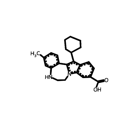 Cc1ccc2c(c1)NCCn1c-2c(C2CCCCC2)c2ccc(C(=O)O)cc21